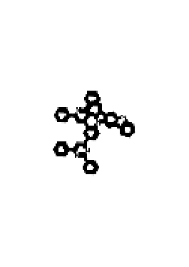 c1ccc(-c2cc(-c3cc(-c4cc(-c5ccccc5)nc(-c5ccccc5)n4)ccc3-n3c4ccccc4c4cc5sc6ccccc6c5cc43)cc(-c3ccccc3)n2)cc1